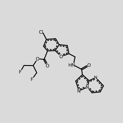 O=C(OC(CF)CF)c1cc(Cl)cc2cc(CNC(=O)c3cnn4cccnc34)oc12